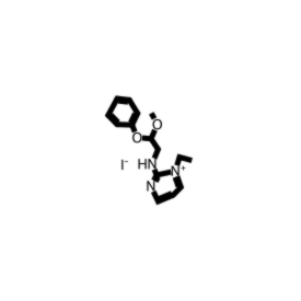 CC[n+]1cccnc1NCC(OC)Oc1ccccc1.[I-]